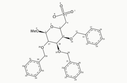 CO[C@H]1OC(CS(=O)(=O)Cl)[C@@H](OCc2ccccc2)[C@@H](OCc2ccccc2)C1OCc1ccccc1